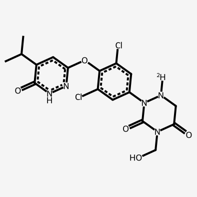 [2H]N1CC(=O)N(CO)C(=O)N1c1cc(Cl)c(Oc2cc(C(C)C)c(=O)[nH]n2)c(Cl)c1